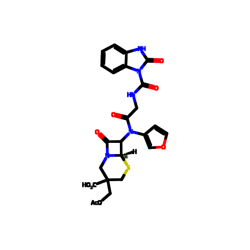 CC(=O)OCC1(C(=O)O)CS[C@@H]2C(N(C(=O)CNC(=O)n3c(=O)[nH]c4ccccc43)c3ccoc3)C(=O)N2C1